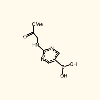 COC(=O)CNc1ncc(B(O)O)cn1